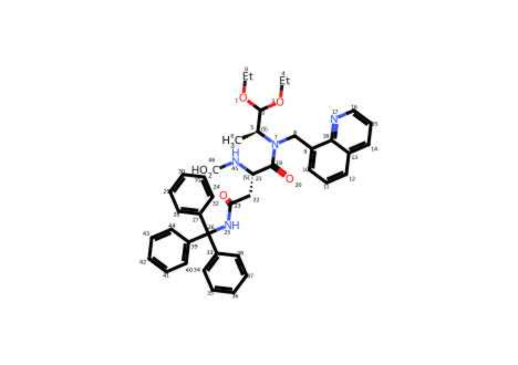 CCOC(OCC)[C@H](C)N(Cc1cccc2cccnc12)C(=O)[C@H](CC(=O)NC(c1ccccc1)(c1ccccc1)c1ccccc1)NC(=O)O